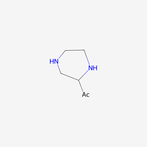 CC(=O)C1CNCCN1